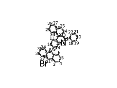 Brc1c2ccccc2c(-c2ccc3c(c2)nc(-c2ccccc2)c2ccc4ccccc4c23)c2ccccc12